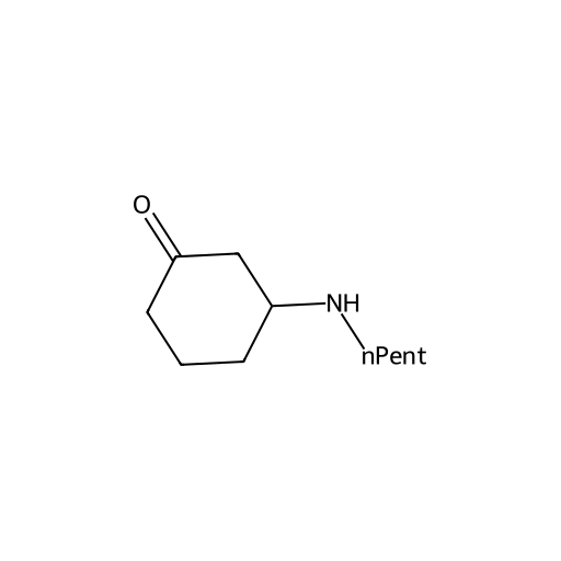 CCCCCNC1CCCC(=O)C1